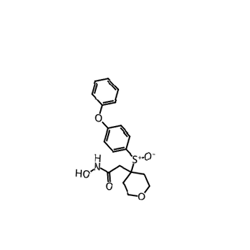 O=C(CC1([S+]([O-])c2ccc(Oc3ccccc3)cc2)CCOCC1)NO